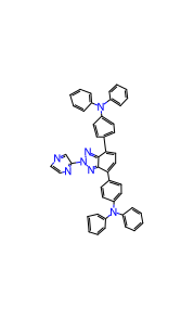 c1ccc(N(c2ccccc2)c2ccc(-c3ccc(-c4ccc(N(c5ccccc5)c5ccccc5)cc4)c4nn(-c5cnccn5)nc34)cc2)cc1